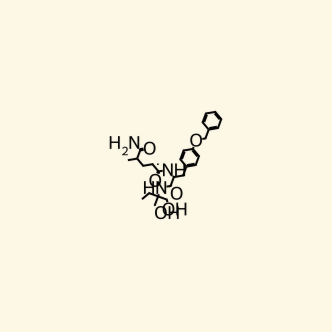 CCC(CO)(CO)NC(=O)C(Cc1ccc(OCc2ccccc2)cc1)NC(=O)[CH]CC(C)C(N)=O